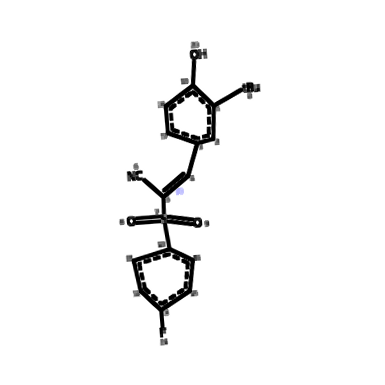 CC(C)(C)c1cc(/C=C(\C#N)S(=O)(=O)c2ccc(F)cc2)ccc1O